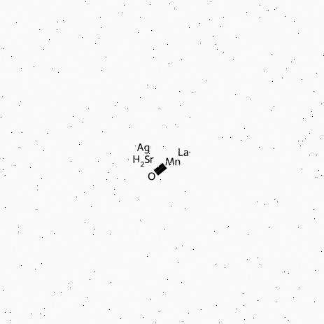 [Ag].[La].[O]=[Mn].[SrH2]